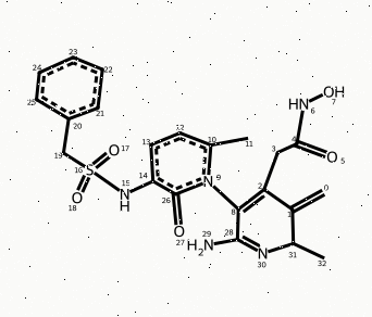 C=C1C(CC(=O)NO)=C(n2c(C)ccc(NS(=O)(=O)Cc3ccccc3)c2=O)C(N)=NC1C